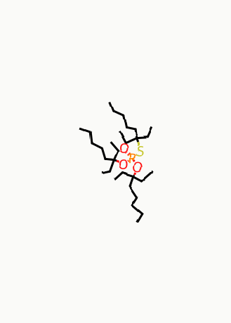 CCCCCC(CC)(CC)OP(=O)(OC(CC)(CC)CCCCC)SC(CC)(CC)CCCCC